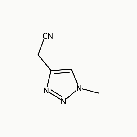 Cn1cc(CC#N)nn1